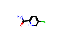 NC(=O)C1=CC=C(Cl)CN1